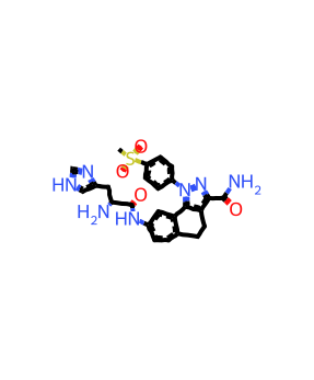 CS(=O)(=O)c1ccc(-n2nc(C(N)=O)c3c2-c2cc(NC(=O)C(N)Cc4c[nH]cn4)ccc2CC3)cc1